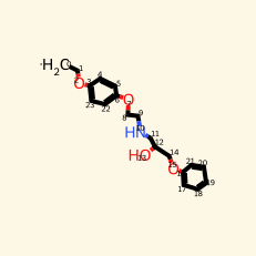 [CH2]COc1ccc(OCCNCC(O)COc2ccccc2)cc1